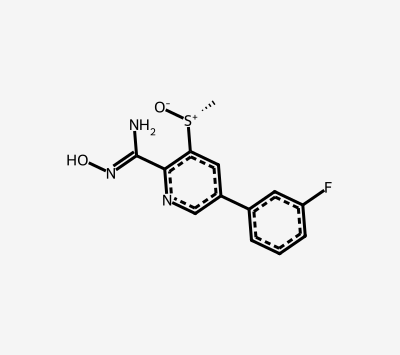 C[S@@+]([O-])c1cc(-c2cccc(F)c2)cnc1C(N)=NO